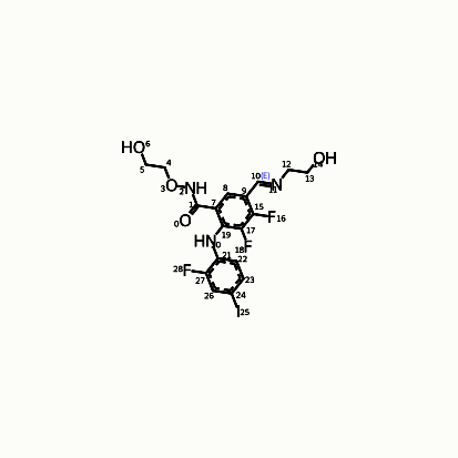 O=C(NOCCO)c1cc(/C=N/CCO)c(F)c(F)c1Nc1ccc(I)cc1F